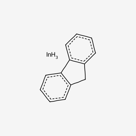 [InH3].c1ccc2c(c1)Cc1ccccc1-2